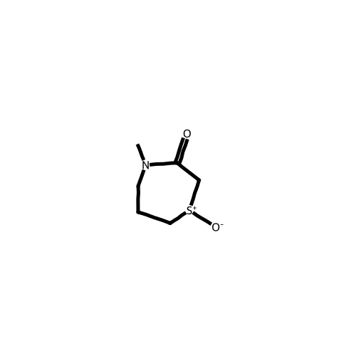 CN1CCC[S+]([O-])CC1=O